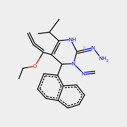 C=C=C(OCC)C1=C(C(C)C)N/C(=N/N)N(N=C)C1c1cccc2ccccc12